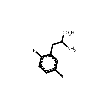 NC(Cc1cc(I)ccc1F)C(=O)O